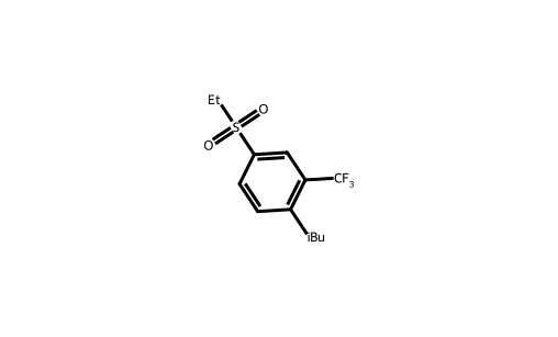 CCC(C)c1ccc(S(=O)(=O)CC)cc1C(F)(F)F